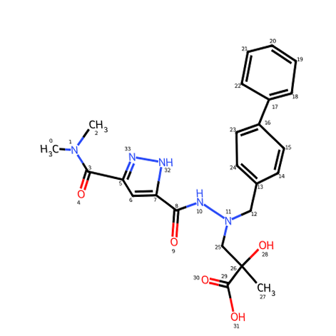 CN(C)C(=O)c1cc(C(=O)NN(Cc2ccc(-c3ccccc3)cc2)CC(C)(O)C(=O)O)[nH]n1